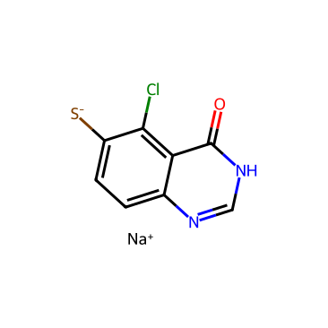 O=c1[nH]cnc2ccc([S-])c(Cl)c12.[Na+]